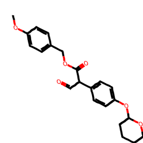 COc1ccc(COC(=O)C([C]=O)c2ccc(OC3CCCCO3)cc2)cc1